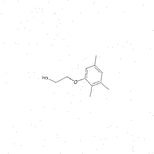 Cc1cc(C)c(C)c(OCCO)c1